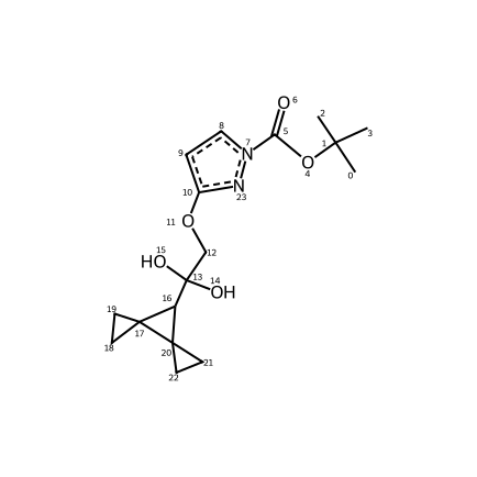 CC(C)(C)OC(=O)n1ccc(OCC(O)(O)C2C3(CC3)C23CC3)n1